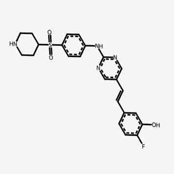 O=S(=O)(c1ccc(Nc2ncc(C=Cc3ccc(F)c(O)c3)cn2)cc1)C1CCNCC1